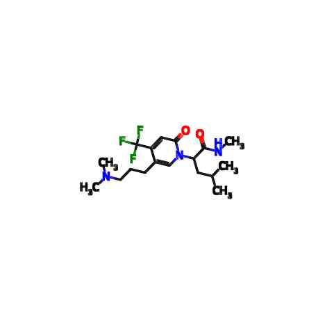 CNC(=O)C(CC(C)C)n1cc(CCCN(C)C)c(C(F)(F)F)cc1=O